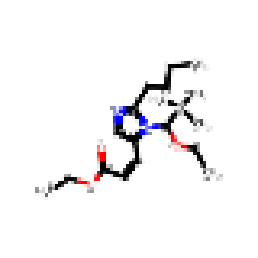 CCCCc1ncc(/C=C\C(=O)OCC)n1C(OCC)[Si](C)(C)C